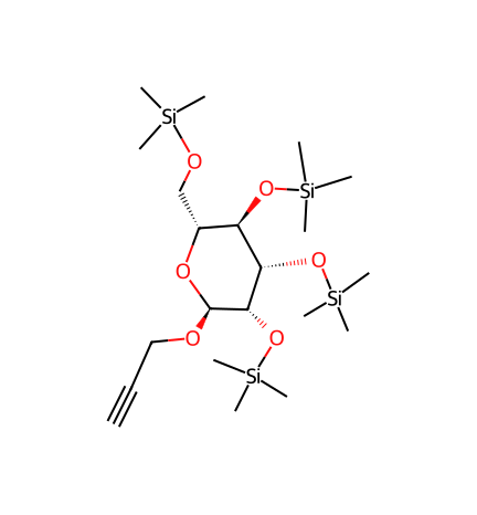 C#CCO[C@H]1O[C@H](CO[Si](C)(C)C)[C@@H](O[Si](C)(C)C)[C@H](O[Si](C)(C)C)[C@@H]1O[Si](C)(C)C